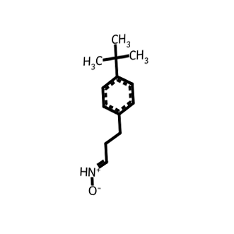 CC(C)(C)c1ccc(CCC=[NH+][O-])cc1